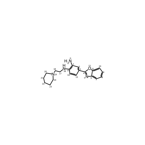 Nc1cc(-c2nc3ccccc3o2)ccc1NCCN1CCCCC1